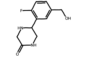 O=C1CNC(c2cc(CO)ccc2F)CN1